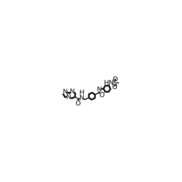 CS(=O)(=O)Nc1ccc2oc(-c3ccc(CNC(=O)c4cnc5nccn5c4)cc3)nc2c1